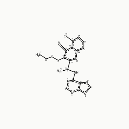 C[C@H](Nc1ncnc2scnc12)c1nc2cccc(Cl)c2c(=O)n1CCCN